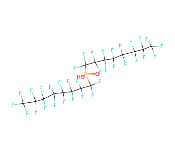 O=P(O)(C(F)(F)C(F)(F)C(F)(F)C(F)(F)C(F)(F)C(F)(F)C(F)(F)C(F)(F)F)C(F)(F)C(F)(F)C(F)(F)C(F)(F)C(F)(F)C(F)(F)C(F)(F)C(F)(F)F